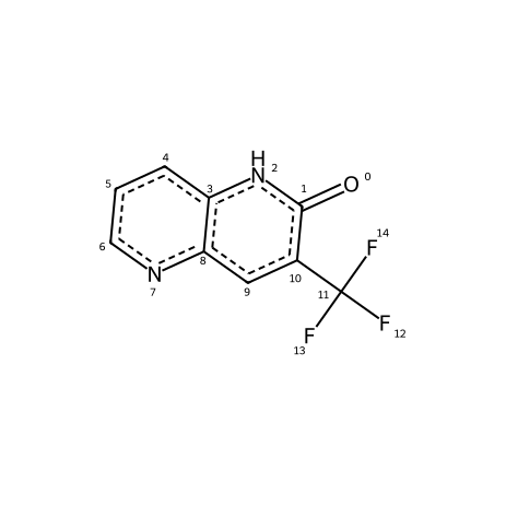 O=c1[nH]c2cccnc2cc1C(F)(F)F